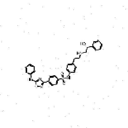 O=S(=O)(Nc1ccc(CCNC[C@H](O)c2cccnc2)cc1)c1ccc(-c2noc(Nc3ccccc3)n2)cc1